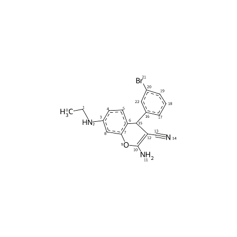 CCNc1ccc2c(c1)OC(N)=C(C#N)C2c1cccc(Br)c1